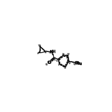 CC(C)(C)c1ccc(C(=O)NC2CC2)cc1